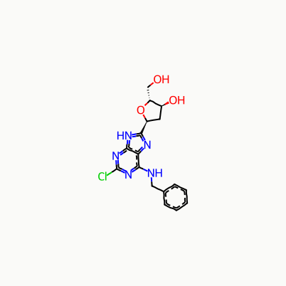 OC[C@H]1O[C@H](c2nc3c(NCc4ccccc4)nc(Cl)nc3[nH]2)C[C@@H]1O